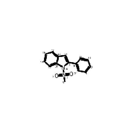 CS(=O)(=O)n1c(-c2ccccc2)cc2ccccc21